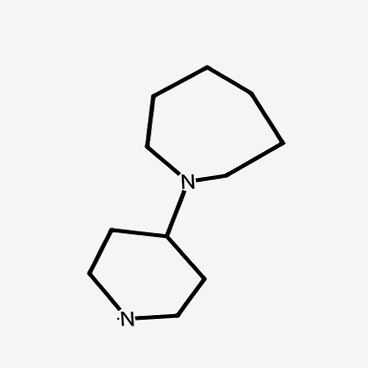 C1CCCN(C2CC[N]CC2)CC1